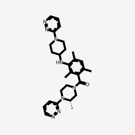 Cc1cc(C)c(C(=O)N2CCN(c3cccnn3)[C@@H](C)C2)c(C)c1NC1CCN(c2cccnn2)CC1